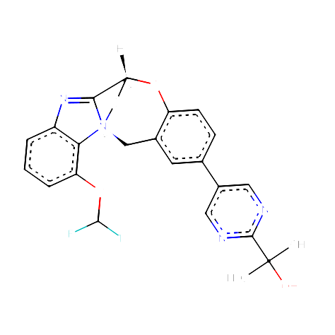 CC(C)(O)c1ncc(-c2ccc3c(c2)C[N@+]24C[C@@H](O3)C2=Nc2cccc(OC(F)F)c24)cn1